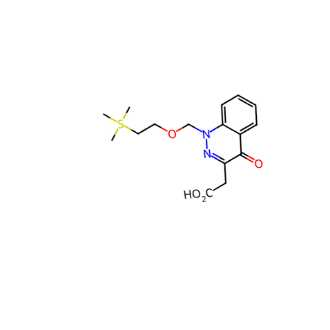 CS(C)(C)CCOCn1nc(CC(=O)O)c(=O)c2ccccc21